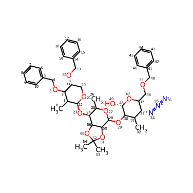 CC1C(OCc2ccccc2)[C@H](OCc2ccccc2)CO[C@H]1O[C@H]1C(C)O[C@@H](OC2C(C)[C@@H](N=[N+]=[N-])C(COCc3ccccc3)O[C@H]2O)C2OC(C)(C)OC21